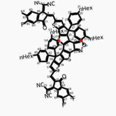 [C-]#[N+]/C(C#N)=C1\C(=C\c2cc3c(s2)-c2sc4c(c2C3(c2ccc(CCCCCC)cc2)c2ccc(CCCCCC)cc2)c2nonc2c2sc3c(c24)C(c2ccc(CCCCCC)cc2)(c2ccc(CCCCCC)cc2)c2cc(/C=C4\C(=O)c5cc(F)c(F)cc5\C4=C(\C#N)[N+]#[C-])sc2-3)C(=O)c2cc(F)c(C)cc21